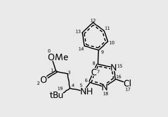 COC(=O)CC(Nc1cc(-c2ccccc2)nc(Cl)n1)C(C)(C)C